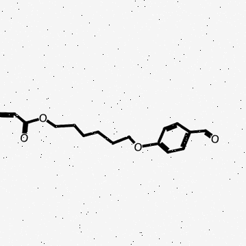 C=CC(=O)OCCCCCCOc1ccc(C=O)cc1